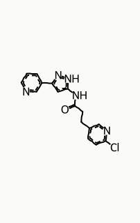 O=C(CCc1ccc(Cl)nc1)Nc1cc(-c2cccnc2)n[nH]1